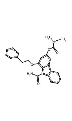 CN(C)C(=O)Oc1cc(OCCc2ccccc2)c2c(C(N)=O)c3ccccn3c2c1